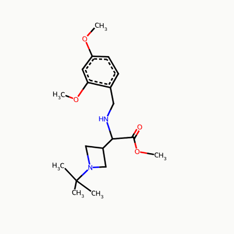 COC(=O)C(NCc1ccc(OC)cc1OC)C1CN(C(C)(C)C)C1